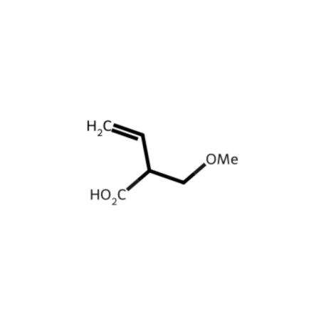 C=CC(COC)C(=O)O